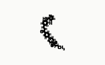 CCCS(=O)(=O)N1CCN(c2ccc(C(=O)CCc3ccc(NC4=NCCN4)cc3)cc2)CC1